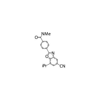 CNC(=O)c1ccc(-c2nc3cc(C#N)cc(C(C)C)c3o2)cc1